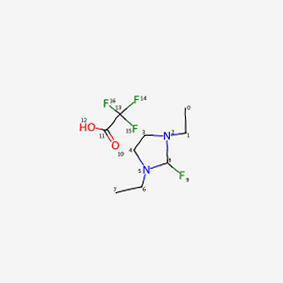 CCN1CCN(CC)C1F.O=C(O)C(F)(F)F